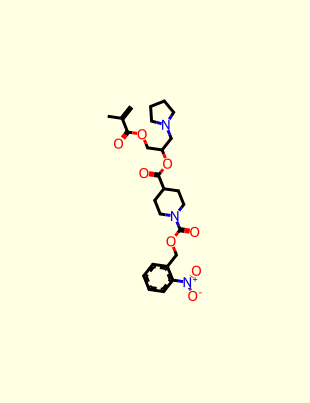 C=C(C)C(=O)OCC(CN1CCCC1)OC(=O)C1CCN(C(=O)OCc2ccccc2[N+](=O)[O-])CC1